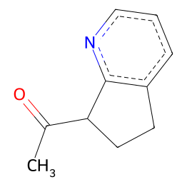 CC(=O)C1CCc2cccnc21